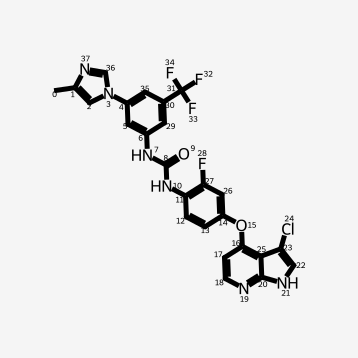 Cc1cn(-c2cc(NC(=O)Nc3ccc(Oc4ccnc5[nH]cc(Cl)c45)cc3F)cc(C(F)(F)F)c2)cn1